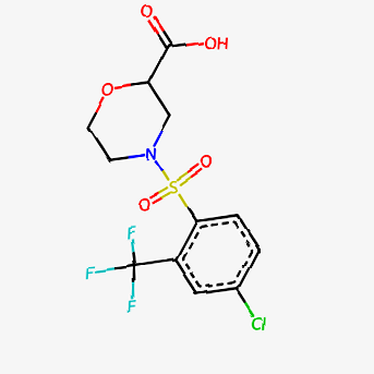 O=C(O)C1CN(S(=O)(=O)c2ccc(Cl)cc2C(F)(F)F)CCO1